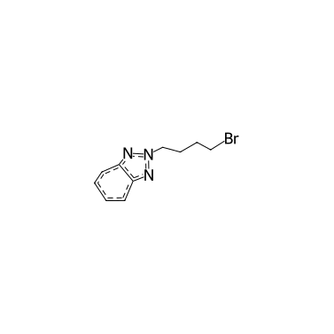 BrCCCCn1nc2ccccc2n1